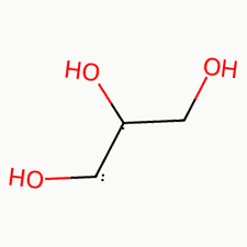 O[C][C](O)CO